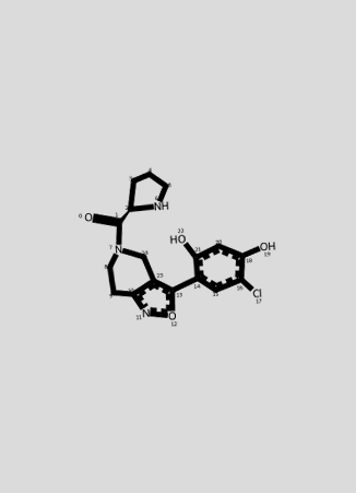 O=C([C@H]1CCCN1)N1CCc2noc(-c3cc(Cl)c(O)cc3O)c2C1